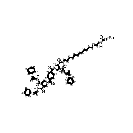 CC(C)(C)OC(=O)NCCOCCCCCCCCCCCCNC(=O)[C@@H]1CN(C(=O)c2ccc(C(=O)N3C[C@@H](C(=O)N[C@H]4C[C@@H]4c4ccccc4)[C@H](C(=O)N[C@H]4C[C@@H]4c4ccccc4)C3)cc2)C[C@H]1C(=O)N[C@H]1C[C@@H]1c1ccccc1